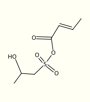 CC=CC(=O)OS(=O)(=O)CC(C)O